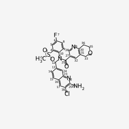 CS(=O)(=O)c1cc(F)ccc1N(Cc1ccc2cc(Cl)c(N)nc2c1)C(=O)c1cnc2c(c1)COCC2